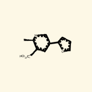 Cc1ncc(-c2ccco2)cc1C(=O)O